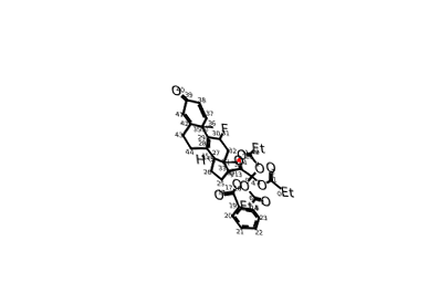 CCC(=O)OC(OC(=O)CC)(OC(=O)CC)C(=O)[C@@]1(OC(=O)c2ccccc2)CC[C@H]2C3=C(C(F)C[C@@]21C)[C@@]1(C)C=CC(=O)C=C1CC3